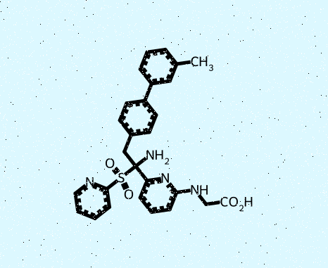 Cc1cccc(-c2ccc(CC(N)(c3cccc(NCC(=O)O)n3)S(=O)(=O)c3ccccn3)cc2)c1